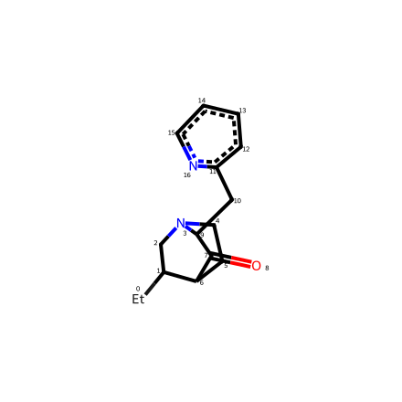 CCC1CN2CCC1C(=O)C2Cc1ccccn1